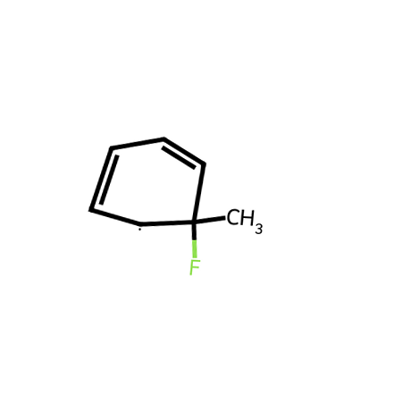 CC1(F)[CH]C=CC=C1